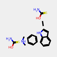 CC.CNC.NC(O)=S.NC(O)=S.c1ccc2[nH]ccc2c1.c1ccccc1